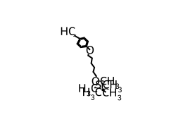 C#Cc1ccc(OCCCCCCO[Si](C)(C)C(C)(C)C)cc1